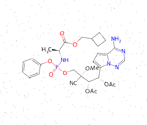 CO[C@](C#N)(COP(=O)(N[C@@H](C)C(=O)OCC1CCC1)Oc1ccccc1)[C@@H](OC(C)=O)[C@@H](OC(C)=O)c1ccc2c(N)ncnn12